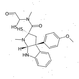 COc1ccc([C@]23C[C@](S)(C(=O)N(C)C(S)C=O)N(C)[C@H]2Nc2ccccc23)cc1